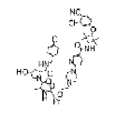 CC(C)[C@H](OCCN1CCN(c2ccc(C(=O)N[C@H]3C(C)(C)[C@H](Oc4ccc(C#N)c(Cl)c4)C3(C)C)cn2)CC1)C(=O)N[C@@H](C)C(=O)N1C[C@H](O)C[C@H]1C(=O)NCc1ccc(Cl)cc1